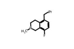 CC(C)Cc1ccc(F)c2c1CCN(C)C2